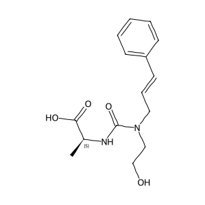 C[C@H](NC(=O)N(CC=Cc1ccccc1)CCO)C(=O)O